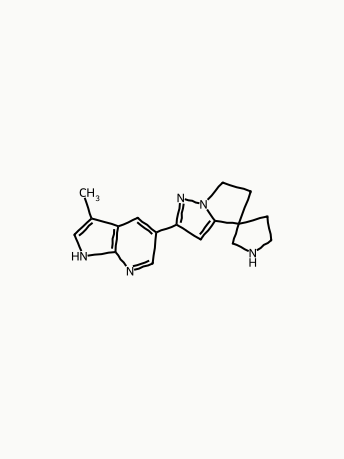 Cc1c[nH]c2ncc(-c3cc4n(n3)CCC43CCNC3)cc12